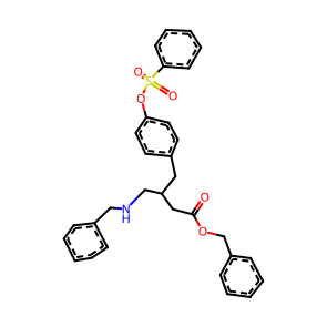 O=C(CC(CNCc1ccccc1)Cc1ccc(OS(=O)(=O)c2ccccc2)cc1)OCc1ccccc1